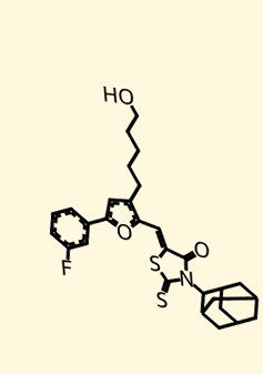 O=C1/C(=C/c2oc(-c3cccc(F)c3)cc2CCCCCO)SC(=S)N1C1C2CC3CC(C2)CC1C3